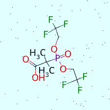 CC(C)(C(=O)O)P(=O)(OCC(F)(F)F)OCC(F)(F)F